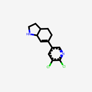 Clc1cc(C2=CC3NCCC3CC2)cnc1Cl